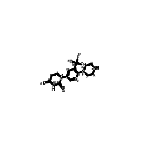 O=C1CCN(c2cnc(N3CCNCC3)c(C(F)(F)F)c2)C(=O)N1